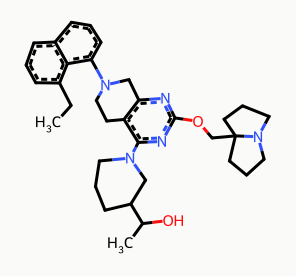 CCc1cccc2cccc(N3CCc4c(nc(OCC56CCCN5CCC6)nc4N4CCCC(C(C)O)C4)C3)c12